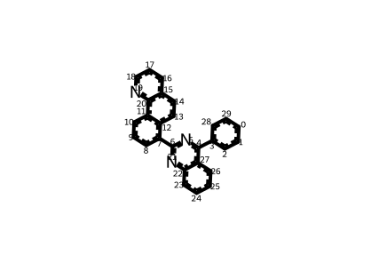 c1ccc(-c2nc(-c3cccc4c3ccc3cccnc34)nc3ccccc23)cc1